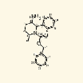 CC1CCC(N)C(c2ccccc2)N1C(=O)OCc1ccccc1